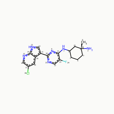 C[C@@]1(N)CCCC(Nc2nc(-c3c[nH]c4ncc(Cl)cc34)ncc2F)C1